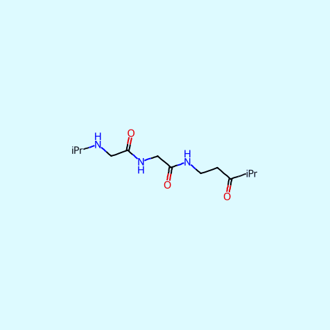 CC(C)NCC(=O)NCC(=O)NCCC(=O)C(C)C